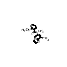 CSc1ncccc1C(=O)N(C)c1cc(C)c2nccn2c1